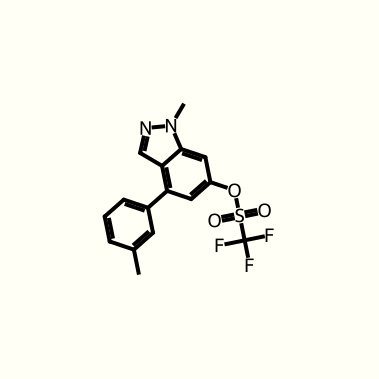 Cc1cccc(-c2cc(OS(=O)(=O)C(F)(F)F)cc3c2cnn3C)c1